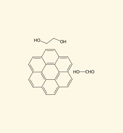 O=CO.OCCO.c1cc2ccc3ccc4ccc5ccc6ccc1c1c2c3c4c5c61